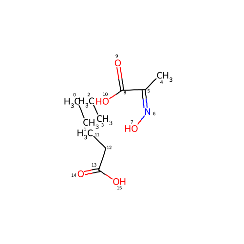 CC.CC.CC(=NO)C(=O)O.CCC(=O)O